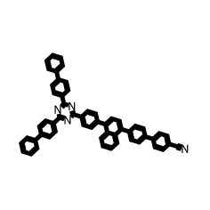 N#Cc1ccc(-c2ccc(-c3ccc(-c4ccc(-c5nc(-c6ccc(-c7ccccc7)cc6)nc(-c6ccc(-c7ccccc7)cc6)n5)cc4)c4ccccc34)cc2)cc1